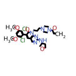 C=CC(=O)N1CCN(CCCn2c(=O)c(-c3c(Cl)c(OC)cc(OC)c3Cl)cc3cnc(NC4CCOC4)nc32)CC1